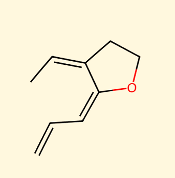 C=C/C=C1/OCC/C1=C/C